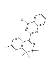 Cc1ccc2c(c1)C(C)(C)C(C)(C)N=C2c1nc(Cl)c2ccccc2n1